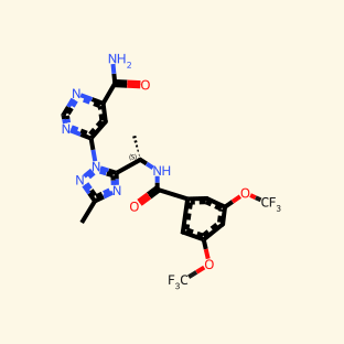 Cc1nc([C@H](C)NC(=O)c2cc(OC(F)(F)F)cc(OC(F)(F)F)c2)n(-c2cc(C(N)=O)ncn2)n1